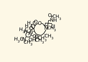 CO[C@]1(C)C[C@@H](C)CN(C)C2(COC(=O)C(C)(C)C(=O)[C@H](C)[C@H]1O[C@@H]1O[C@H](C)C[C@H](N(C)C)[C@H]1O)CC(CCl)(CNC(C)=O)C2